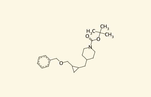 CC(C)(C)OC(=O)N1CCC(CC2CC2COCc2ccccc2)CC1